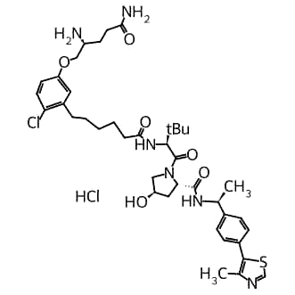 Cc1ncsc1-c1ccc([C@H](C)NC(=O)[C@@H]2C[C@@H](O)CN2C(=O)[C@@H](NC(=O)CCCCCc2cc(OC[C@@H](N)CCC(N)=O)ccc2Cl)C(C)(C)C)cc1.Cl